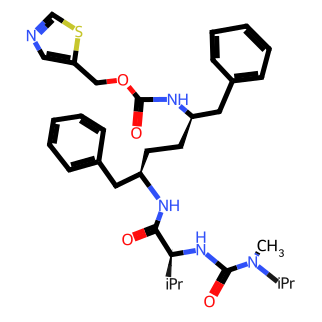 CC(C)[C@H](NC(=O)N(C)C(C)C)C(=O)N[C@H](CC[C@H](Cc1ccccc1)NC(=O)OCc1cncs1)Cc1ccccc1